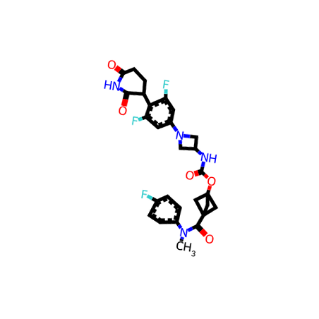 CN(C(=O)C12CC(OC(=O)NC3CN(c4cc(F)c(C5CCC(=O)NC5=O)c(F)c4)C3)(C1)C2)c1ccc(F)cc1